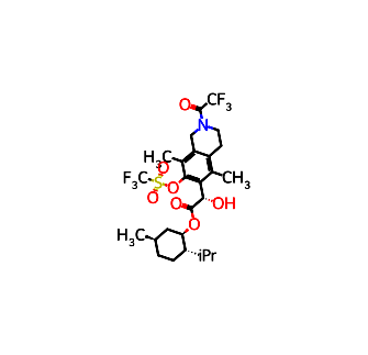 Cc1c2c(c(C)c([C@H](O)C(=O)O[C@@H]3C[C@H](C)CC[C@H]3C(C)C)c1OS(=O)(=O)C(F)(F)F)CCN(C(=O)C(F)(F)F)C2